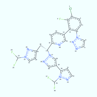 Fc1c(Cl)ccc(-n2ccnn2)c1-c1ccc([C@@H](Cc2ccn(C(F)F)n2)n2cc(-c3ccnn3C(F)F)cn2)nc1